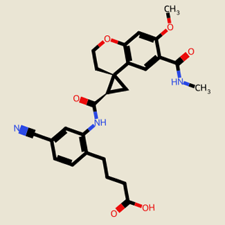 CNC(=O)c1cc2c(cc1OC)OCC[C@]21C[C@H]1C(=O)Nc1cc(C#N)ccc1CCCC(=O)O